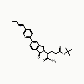 CC/C=C/c1ccc(-c2ccc3c(c2)CN(C(CCC(=O)OC(C)(C)C)C(N)=O)C3=O)nc1